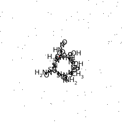 Cc1sc2nc1C(=O)N[C@@H]([C@H](O)c1ccccc1)c1nc(cs1)C(=O)N[C@@H](Cc1ccc(O)cc1)C(=O)N1C[C@H](OC(=O)NCCN3CCOCC3)[C@H](C)[C@H]1c1nc(cs1)-c1nc(cs1)-c1nc(-c3nc(C(N)=O)cs3)ccc1-c1nc(cs1)C(=O)N[C@H]2CC(N)=O